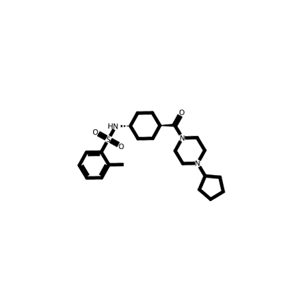 Cc1ccccc1S(=O)(=O)N[C@H]1CC[C@H](C(=O)N2CCN(C3CCCC3)CC2)CC1